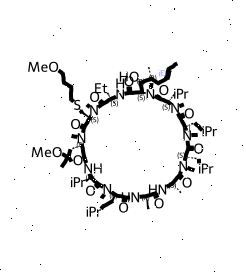 C/C=C/C[C@@H](C)[C@@H](O)[C@H]1C(=O)N[C@@H](CC)C(=O)N(C)[C@H](CSCCCCOC)C(=O)N(C)[C@@H](CC(C)(C)OC)C(=O)N[C@H](C(C)C)C(=O)N(C)[C@H](CCC(C)C)C(=O)N[C@H](C)C(=O)N[C@@H](C)C(=O)N(C)[C@@H](CC(C)C)C(=O)N(C)[C@@H](CC(C)C)C(=O)N(C)[C@@H](C(C)C)C(=O)N1C